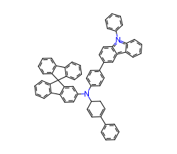 C1=CC(N(c2ccc(-c3ccc4c(c3)c3ccccc3n4-c3ccccc3)cc2)c2ccc3c(c2)C2(c4ccccc4-c4ccccc42)c2ccccc2-3)CC=C1c1ccccc1